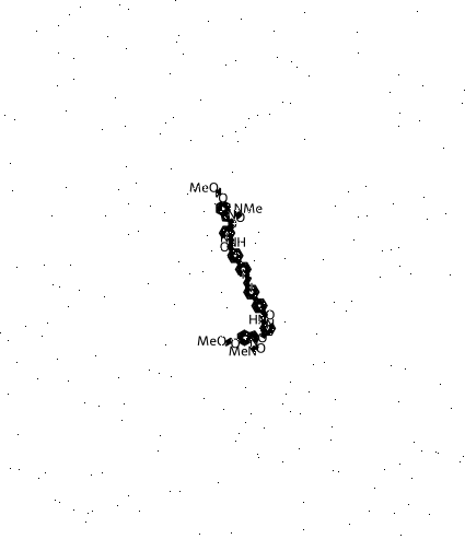 CNC(=O)n1c(Oc2ccnc(NC(=O)c3ccc(C4CCN(CCN5CCC(c6ccc(C(=O)Nc7cc(Oc8cc9ccc(OCCOC)cc9n8C(=O)NC)ccn7)cc6)CC5)CC4)cc3)c2)cc2ccc(OCCOC)cc21